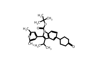 Cc1cc(-c2c(C(C)C)c3cc(C4CCC(=O)CC4)ccc3n2C(=O)OC(C)(C)C)cc(C)n1